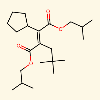 CC(C)COC(=O)C(CC(C)(C)C)=C(C(=O)OCC(C)C)C1CCCC1